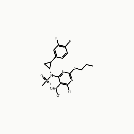 CCCSc1nc(Cl)c([N+](=O)[O-])c(N([C@@H]2C[C@H]2c2ccc(F)c(F)c2)S(C)(=O)=O)n1